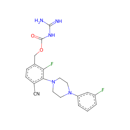 N#Cc1ccc(COC(=O)NC(=N)N)c(F)c1N1CCN(c2cccc(F)c2)CC1